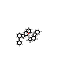 c1ccc(-c2cccc3c2sc2c(-n4ccc5ccc6c7ccccc7n(-c7ccccc7)c6c54)cccc23)cc1